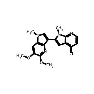 COc1cc2c(nc1OC)c(-c1cc3c(Cl)ccnc3n1C)cn2C